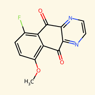 COc1ccc(F)c2c1C(=O)c1nccnc1C2=O